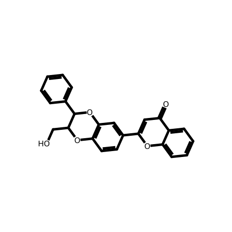 O=c1cc(-c2ccc3c(c2)OC(c2ccccc2)C(CO)O3)oc2ccccc12